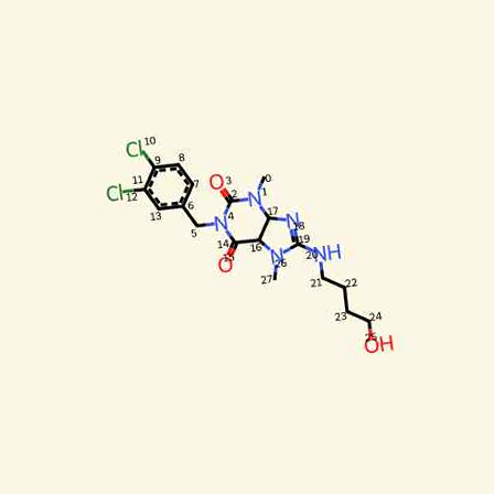 CN1C(=O)N(Cc2ccc(Cl)c(Cl)c2)C(=O)C2C1N=C(NCCCCO)N2C